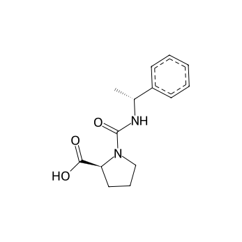 C[C@@H](NC(=O)N1CCC[C@H]1C(=O)O)c1ccccc1